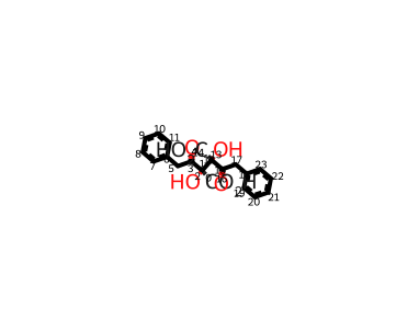 O=C(O)C(O)(C(=O)Cc1ccccc1)C(O)(C(=O)O)C(=O)Cc1ccccc1